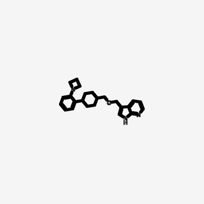 c1ccc(N2CCC2)c(C2CCC(COCc3c[nH]c4ncccc34)CC2)c1